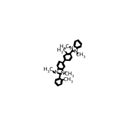 CCn1c(-c2ccccc2C)[n+](C)c2cc(-c3ccc(-c4n(C)c5ccccc5[n+]4C)c(C)c3)ccc21